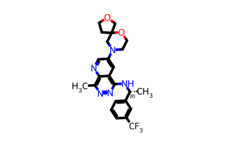 Cc1nnc(N[C@H](C)c2cccc(C(F)(F)F)c2)c2cc(N3CCOC4(CCOC4)C3)cnc12